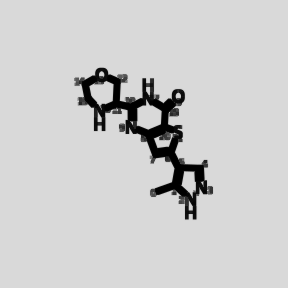 Cc1[nH]ncc1-c1cc2nc(C3COCCN3)[nH]c(=O)c2s1